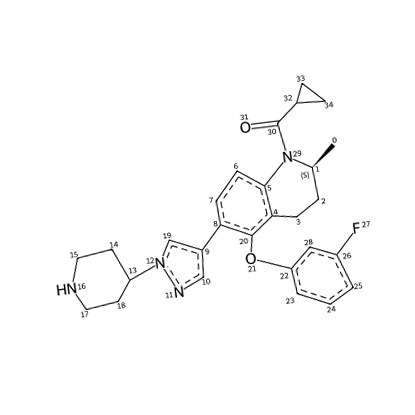 C[C@H]1CCc2c(ccc(-c3cnn(C4CCNCC4)c3)c2Oc2cccc(F)c2)N1C(=O)C1CC1